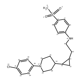 CS(=O)(=O)c1ccc(NCCC2CC2C2CCN(c3ncc(Cl)cn3)CC2)cc1